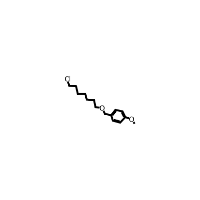 COc1ccc(COCCCCCCCCl)cc1